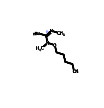 CCCC/C(=N/C)N(C)OCCCCC#N